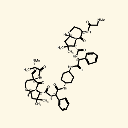 C=C[C@@]1(NC(=O)[C@H](C)NC)CCS[C@H]2CC(C)(C)[C@@H](C(=O)N[C@@H](C(=O)N[C@H]3CC[C@H](NC(=O)[C@@H](NC(=O)[C@H]4N5C(=O)[C@H](NC(=O)CNC)CCS[C@H]5CC4(C)C)c4ccccc4)CC3)c3ccccc3)N2C1=O